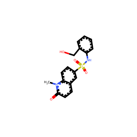 Cn1c(=O)ccc2cc(S(=O)(=O)Nc3ccccc3CO)ccc21